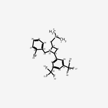 CN(C)CC1CC(c2cc(C(F)(F)F)cc(C(F)(F)F)c2)N1Cc1ccccc1Br